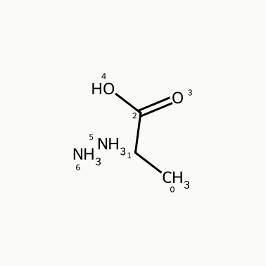 CCC(=O)O.N.N